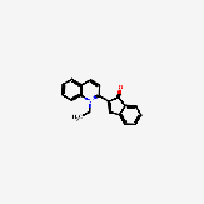 CC[n+]1c(C2=Cc3ccccc3C2=O)ccc2ccccc21